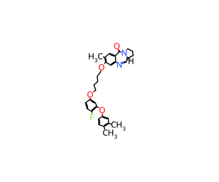 Cc1ccc(Oc2cc(OCCCCCOc3cc4c(cc3C)C(=O)N3CCC[C@H]3C=N4)ccc2F)cc1C